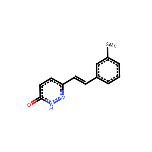 CSc1cccc(C=Cc2ccc(=O)[nH]n2)c1